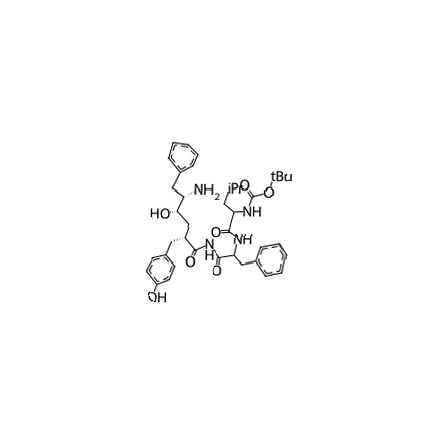 CC(C)CC(NC(=O)OC(C)(C)C)C(=O)NC(Cc1ccccc1)C(=O)NC(=O)[C@H](Cc1ccc(O)cc1)C[C@H](O)[C@@H](N)Cc1ccccc1